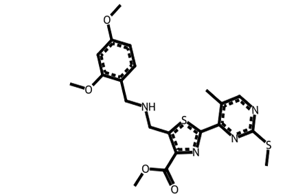 COC(=O)c1nc(-c2nc(SC)ncc2C)sc1CNCc1ccc(OC)cc1OC